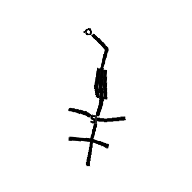 CC(C)(C)[Si](C)(C)C#CC[O]